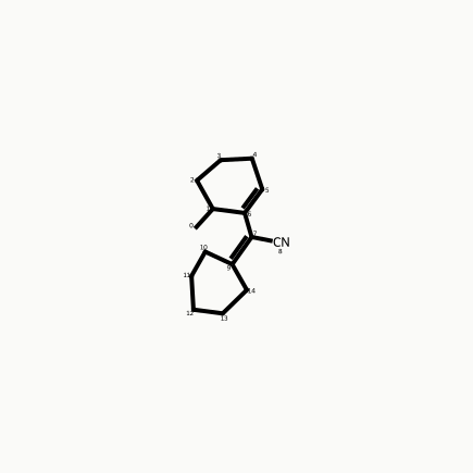 CC1CCCC=C1C(C#N)=C1CCCCC1